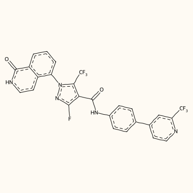 O=C(Nc1ccc(-c2ccnc(C(F)(F)F)c2)cc1)c1c(F)nn(-c2cccc3c(=O)[nH]ccc23)c1C(F)(F)F